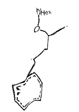 [CH2]C(C[CH]c1ccccc1)OCCCCCC